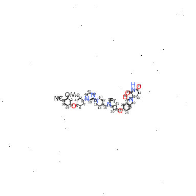 COc1cc(OC2CCC(N3C=C(N4CCC(CN(C(C)C)C5CC(Oc6ccc7c(c6)C(=O)N([C@@H]6CCC(=O)NC6=O)C7)C5)CC4)N=CC3)CC2)ccc1C#N